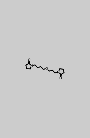 O=C1CCCN1CCCCOCCCN1CCCC1=O